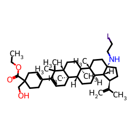 C=C(C)[C@@H]1CC[C@]2(NCCI)CC[C@]3(C)[C@H](CC[C@@H]4[C@@]5(C)CC=C(C6=CCC(CO)(C(=O)OCC)CC6)C(C)(C)[C@@H]5CC[C@]43C)[C@@H]12